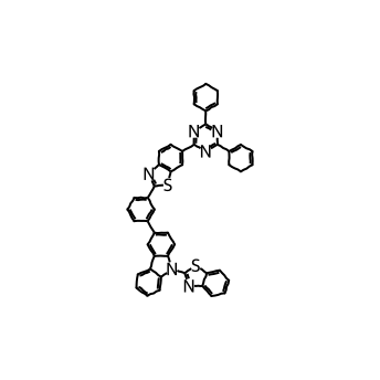 C1=CCCC(c2nc(C3=CCCC=C3)nc(-c3ccc4nc(-c5cccc(-c6ccc7c(c6)c6ccccc6n7-c6nc7ccccc7s6)c5)sc4c3)n2)=C1